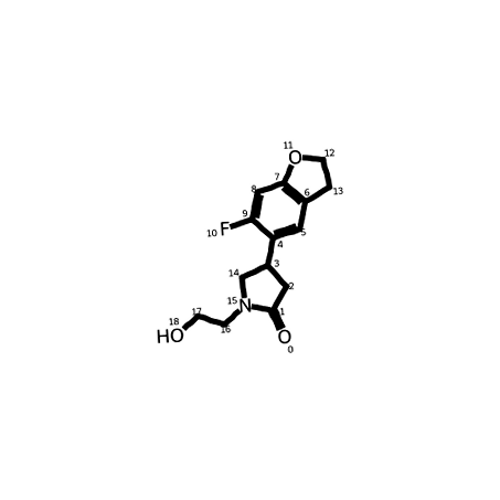 O=C1CC(c2cc3c(cc2F)OCC3)CN1CCO